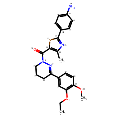 CCOc1cc(C2=NN(C(=O)c3sc(-c4ccc(N)cc4)nc3C)CCC2)ccc1OC